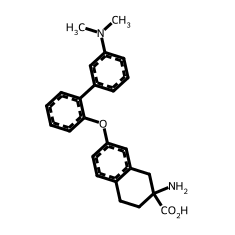 CN(C)c1cccc(-c2ccccc2Oc2ccc3c(c2)CC(N)(C(=O)O)CC3)c1